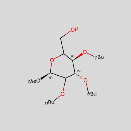 CCCCOC1[C@@H](OC)OC(CO)[C@@H](OCCCC)[C@@H]1OCCCC